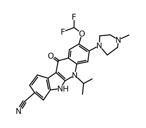 CC(C)n1c2cc(N3CCN(C)CC3)c(OC(F)F)cc2c(=O)c2c3ccc(C#N)cc3[nH]c21